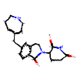 O=C1CCC(N2Cc3cc(CC4=CCCNCC4)ccc3C2=O)C(=O)N1